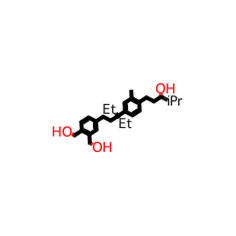 CCC(CC)(CCc1ccc(CO)c(CO)c1)c1ccc(CCC(O)C(C)C)c(C)c1